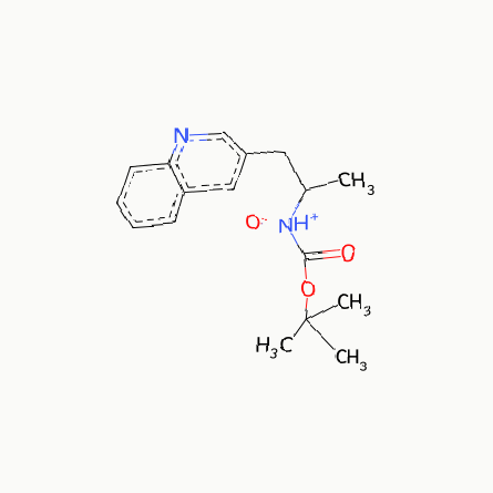 CC(Cc1cnc2ccccc2c1)[NH+]([O-])C(=O)OC(C)(C)C